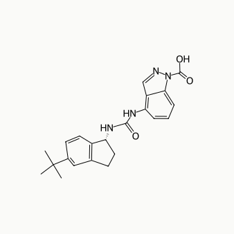 CC(C)(C)c1ccc2c(c1)CC[C@H]2NC(=O)Nc1cccc2c1cnn2C(=O)O